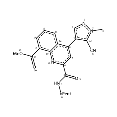 CCCCCNC(=O)c1cc(-c2cnn(C)c2C#N)c2cccc(C(=O)OC)c2n1